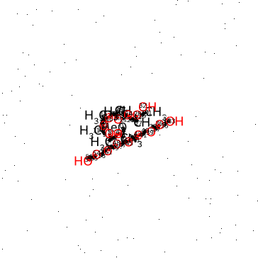 COCC(C)OCC(C)OCC(C)OCC(C)OCC(C)OCC(C)OCC(C)OCC(C)O.OCCOCCOCCOCCOCCOCCOCCOCCO